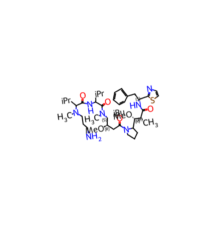 CC[C@H](C)[C@@H]([C@@H](CC(=O)N1CCCC1[C@H](OC)[C@@H](C)C(=O)N[C@@H](Cc1ccccc1)c1nccs1)OC)N(C)C(=O)C(NC(=O)C(C(C)C)N(C)CCCN)C(C)C